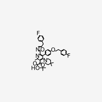 Cc1nc(-c2ncc(Cc3ccc(F)cc3)o2)c(-c2ccc(OCCc3ccc(F)cc3)cc2)c(N2CCC(C)(C)CC2)c1[C@H](OC(C)(C)C)C(=O)O